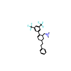 C[N+](C)CC1CC(CCc2ccccc2)CC=C1c1cc(C(F)(F)F)cc(C(F)(F)F)c1